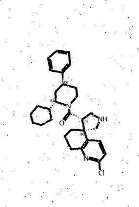 O=C([C@@H]1CNC[C@]12CCCc1nc(Cl)ccc12)N1CC[C@H](c2ccccc2)C[C@H]1C1CCCCC1